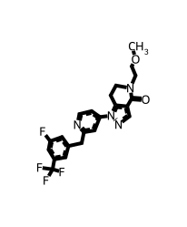 COCCN1CCc2c(cnn2-c2ccnc(Cc3cc(F)cc(C(F)(F)F)c3)c2)C1=O